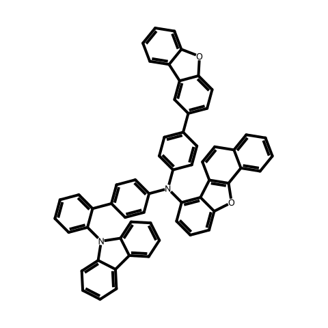 c1ccc(-n2c3ccccc3c3ccccc32)c(-c2ccc(N(c3ccc(-c4ccc5oc6ccccc6c5c4)cc3)c3cccc4oc5c6ccccc6ccc5c34)cc2)c1